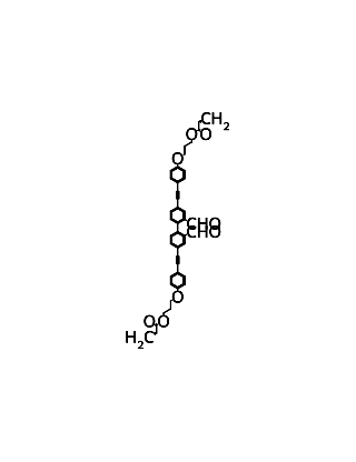 C=CC(=O)OCCCOc1ccc(C#Cc2ccc(-c3ccc(C#Cc4ccc(OCCCOC(=O)C=C)cc4)cc3C=O)c(C=O)c2)cc1